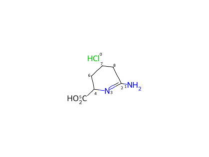 Cl.NC1=NC(C(=O)O)CCC1